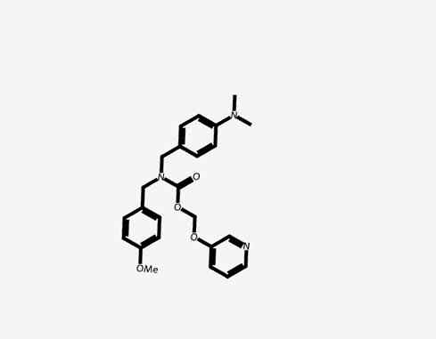 COc1ccc(CN(Cc2ccc(N(C)C)cc2)C(=O)OCOc2cccnc2)cc1